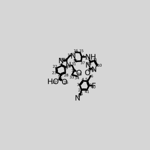 N#Cc1ccc(COc2nccc(NC3CCN(Cc4nc5ccc(C(=O)O)cc5n4CC4CCO4)CC3)n2)c(F)c1